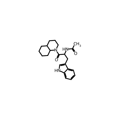 CC(=O)NC(Cc1c[nH]c2ccccc12)C(=O)N1CCCC2CCCCC21